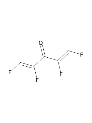 O=C(C(F)=CF)C(F)=CF